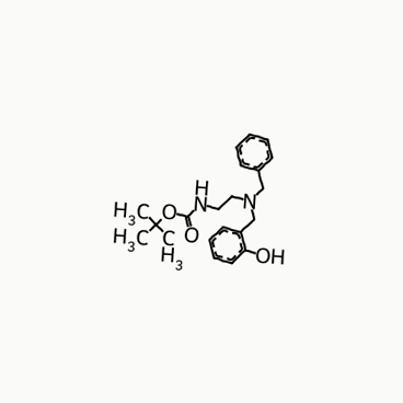 CC(C)(C)OC(=O)NCCN(Cc1ccccc1)Cc1ccccc1O